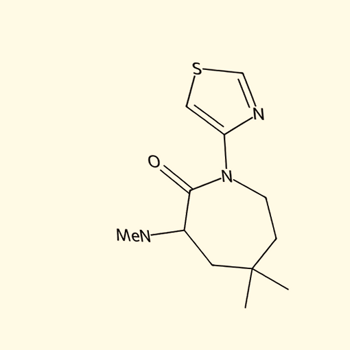 CNC1CC(C)(C)CCN(c2cscn2)C1=O